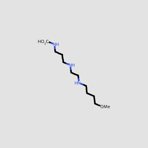 COCCCCNCCNCCCNC(=O)O